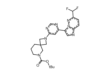 CC(C)(C)OC(=O)N1CCCC2(C1)CN(c1cc(-c3cnc4ccc(C(F)F)nn34)ncn1)C2